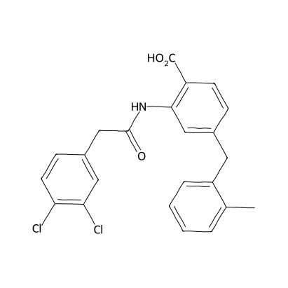 Cc1ccccc1Cc1ccc(C(=O)O)c(NC(=O)Cc2ccc(Cl)c(Cl)c2)c1